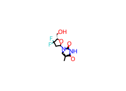 Cc1cn([C@H]2CC(F)(F)[C@H](CO)O2)c(=O)[nH]c1=O